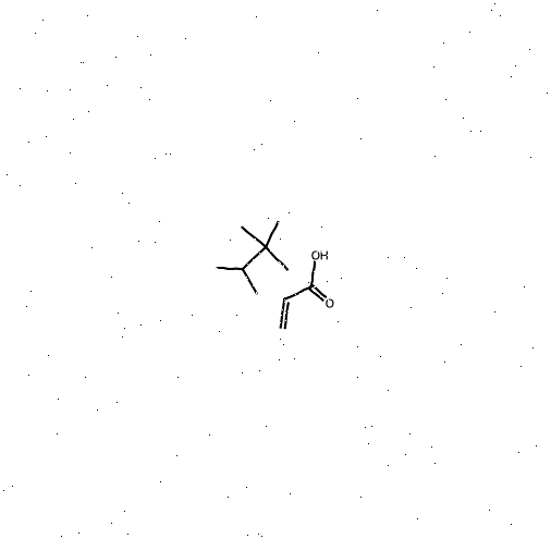 C=CC(=O)O.CC(C)C(C)(C)C